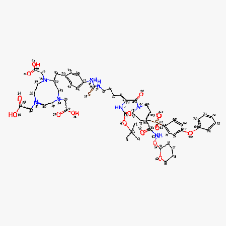 CC(C)(C)OC(=O)N[C@@H](CCCCNC(=S)Nc1ccc(CC2CN(CC(=O)O)CCN(CC(=O)O)CCN2CC(=O)O)cc1)C(=O)N1CCC(C(=O)NOC2CCCCO2)(S(=O)(=O)c2ccc(Oc3ccccc3)cc2)CC1